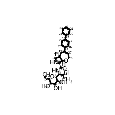 CSC1O[C@H]([C@H](NC(=O)[C@H]2NC[C@@H]3CC(c4ccc(-c5ccccc5)cc4)=CCO[C@H]32)[C@H](C)Cl)C(O)[C@@H](O)[C@H]1O